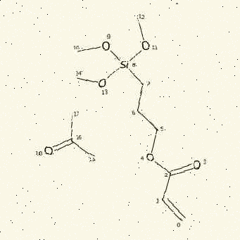 C=CC(=O)OCCC[Si](OC)(OC)OC.CC(C)=O